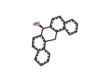 OCc1ccc2ccccc2c1Cc1c(CO)ccc2ccccc12